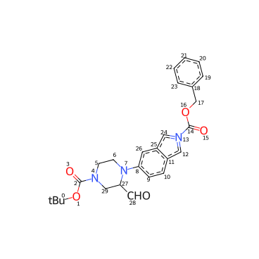 CC(C)(C)OC(=O)N1CCN(c2ccc3cn(C(=O)OCc4ccccc4)cc3c2)C(C=O)C1